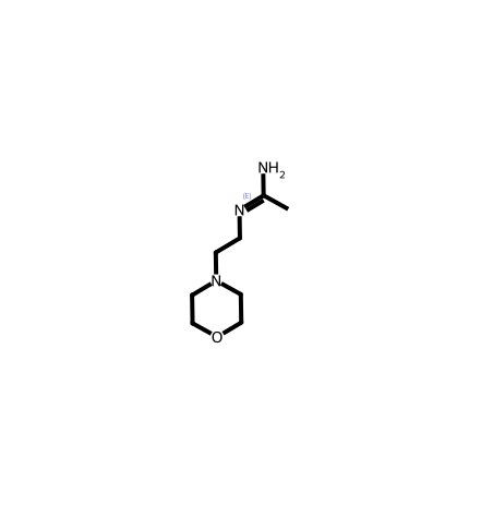 C/C(N)=N\CCN1CCOCC1